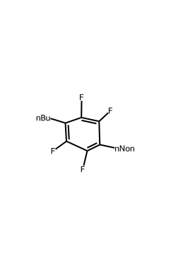 CCCCCCCCCc1c(F)c(F)c(CCCC)c(F)c1F